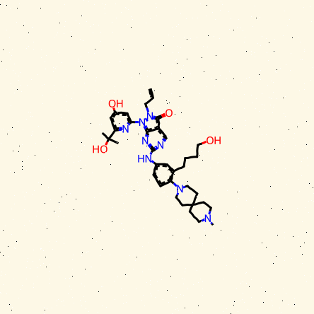 C=CCn1c(=O)c2cnc(Nc3ccc(N4CCC5(CCN(C)CC5)CC4)c(CCCCO)c3)nc2n1-c1cc(O)cc(C(C)(C)O)n1